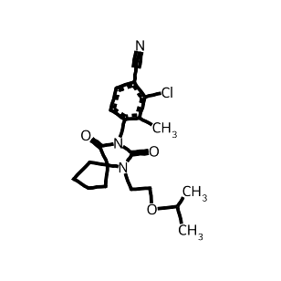 Cc1c(N2C(=O)N(CCOC(C)C)C3(CCCC3)C2=O)ccc(C#N)c1Cl